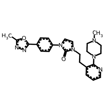 Cc1nnc(-c2ccc(-n3ccn(CCc4cccnc4N4CCN(C)CC4)c3=O)cc2)o1